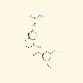 NC(=O)/C=C/c1ccc2c(c1)CCCC2NC(=O)c1cc(C(F)(F)F)cc(C(F)(F)F)c1